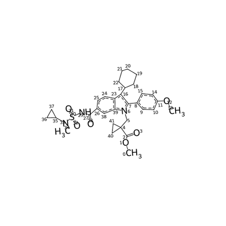 COC(=O)C1(Cn2c(-c3ccc(OC)cc3)c(C3CCCCC3)c3ccc(C(=O)NS(=O)(=O)N(C)C4CC4)cc32)CC1